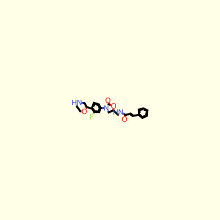 O=C(/C=C/c1ccccc1)NCC1CN(c2ccc(C3CNCCO3)c(F)c2)C(=O)O1